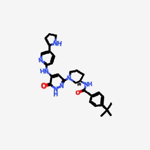 CC(C)(C)c1ccc(C(=O)N[C@@H]2CCCN(c3cc(Nc4ccc(C5CCCN5)cn4)c(=O)[nH]n3)C2)cc1